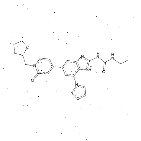 CCNC(=O)Nc1nc2cc(-c3ccn(CC4CCCO4)c(=O)c3)cc(-n3cccn3)c2[nH]1